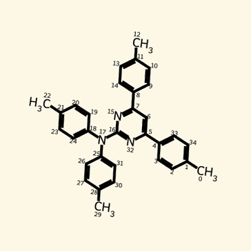 Cc1ccc(-c2cc(-c3ccc(C)cc3)nc(N(c3ccc(C)cc3)c3ccc(C)cc3)n2)cc1